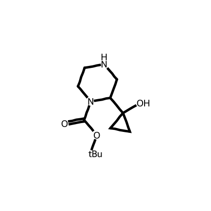 CC(C)(C)OC(=O)N1CCNCC1C1(O)CC1